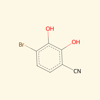 N#Cc1ccc(Br)c(O)c1O